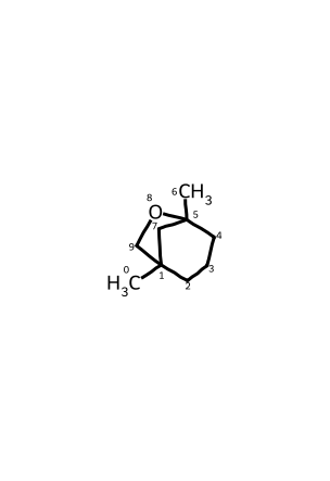 CC12CCCC(C)(C1)OC2